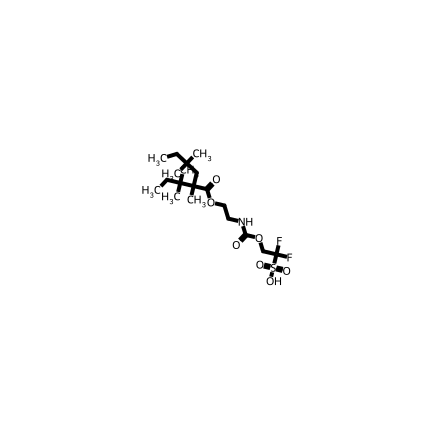 CCC(C)(C)CC(C)(C(=O)OCCNC(=O)OCC(F)(F)S(=O)(=O)O)C(C)(C)CC